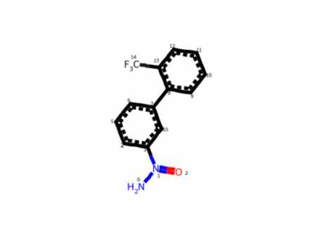 N[N+](=O)c1[c]ccc(-c2ccccc2C(F)(F)F)c1